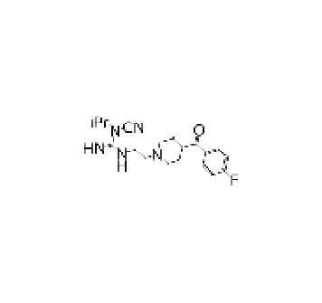 CC(C)N(C#N)C(=N)NCCN1CCC(C(=O)c2ccc(F)cc2)CC1